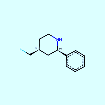 FC[C@H]1CCN[C@@H](c2ccccc2)C1